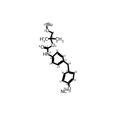 CC(C)(C)OCC(C)(C)OC(=O)Nc1ccc(Cc2ccc(OC#N)cc2)cc1